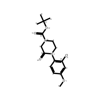 COc1ccc(N2CCN(C(=O)OC(C)(C)C)CC2=O)c(Cl)c1